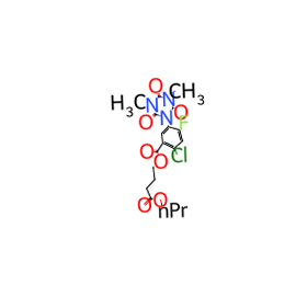 CCCOC(=O)CCCOC(=O)c1cc(-n2c(=O)n(C)c(=O)n(C)c2=O)c(F)cc1Cl